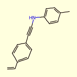 C=Cc1ccc(C#CNc2ccc(C)cc2)cc1